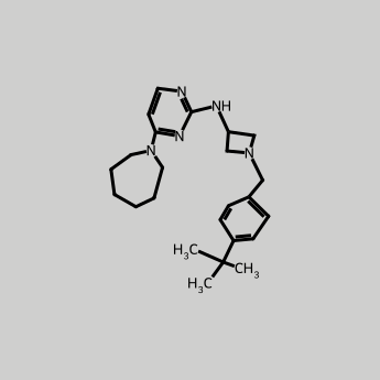 CC(C)(C)c1ccc(CN2CC(Nc3nccc(N4CCCCCC4)n3)C2)cc1